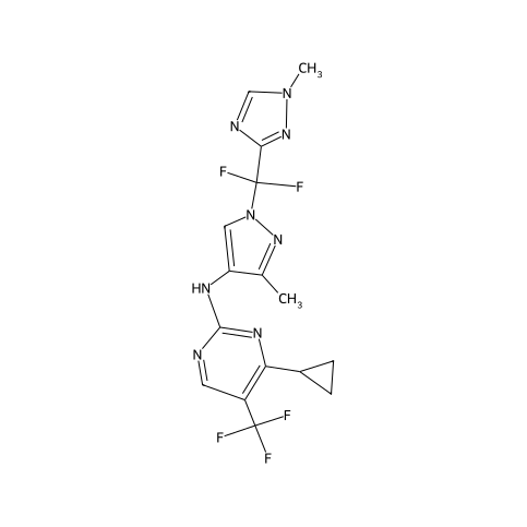 Cc1nn(C(F)(F)c2ncn(C)n2)cc1Nc1ncc(C(F)(F)F)c(C2CC2)n1